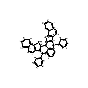 c1ccc(N2c3cccc4c3B(c3sc5c(ccc6ccccc65)c32)c2sc3c(ccc5ccccc53)c2N4c2ccccc2)cc1